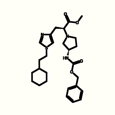 COC(=O)[C@H](Cc1cn(CCC2CCCCC2)cn1)N1CC[C@H](NC(=O)OCc2ccccc2)C1